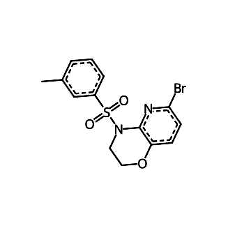 Cc1cccc(S(=O)(=O)N2CCOc3ccc(Br)nc32)c1